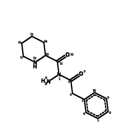 NN(C(=O)Cc1ccccc1)C(=O)C1CCCCN1